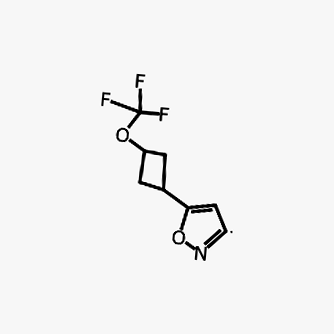 FC(F)(F)OC1CC(c2c[c]no2)C1